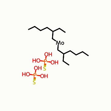 CCCCC(CC)[CH2][Mo][CH2]C(CC)CCCC.OP(O)(O)=S.OP(O)(O)=S